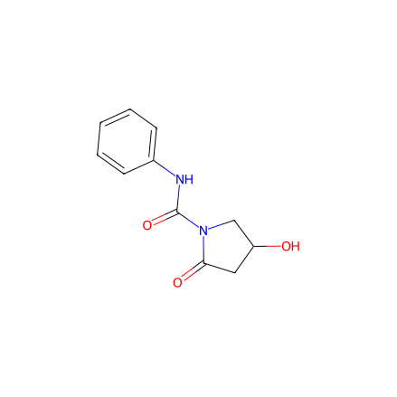 O=C1CC(O)CN1C(=O)Nc1ccccc1